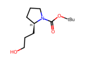 CC(C)(C)OC(=O)N1CCC[C@@H]1CCCO